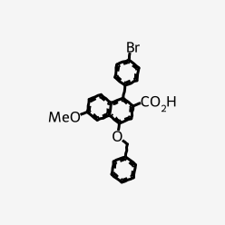 COc1ccc2c(-c3ccc(Br)cc3)c(C(=O)O)cc(OCc3ccccc3)c2c1